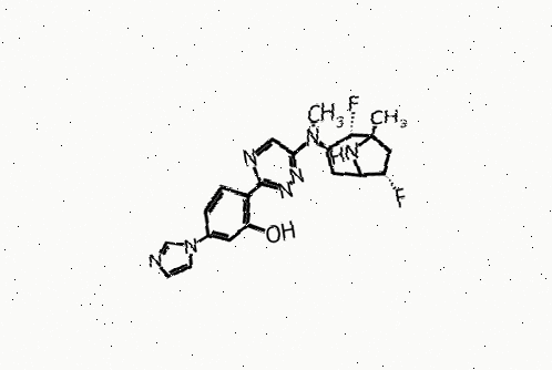 CN(c1cnc(-c2ccc(-n3ccnc3)cc2O)nn1)[C@@H]1CC2N[C@@](C)(C[C@@H]2F)[C@H]1F